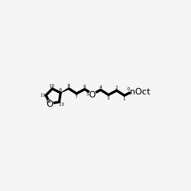 CCCCCCCCCCCCOCCC[C@@H]1CCOC1